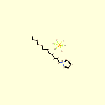 CCCCCCCCCCCC[n+]1ccccc1.F[P-](F)(F)(F)(F)F